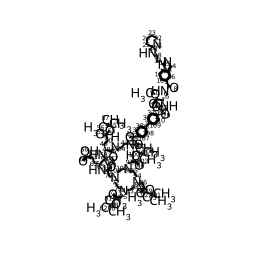 COC(=O)[C@H](CNC(=O)c1ccc2c(cnn2CCNC2=NCCCC2)c1)NS(=O)(=O)c1ccc(-c2ccc(S(=O)(=O)NCCNC(=O)[C@H](CCC(=O)OC(C)(C)C)NC(=O)[C@H](CCC(=O)O)NC(=O)CN3CCN(CC(=O)OC(C)(C)C)CCN(CC(=O)OC(C)(C)C)CCN(CC(=O)OC(C)(C)C)CC3)cc2)cc1